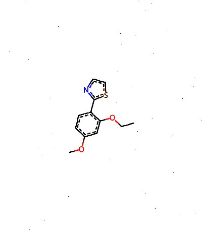 CCOc1cc(OC)ccc1-c1nccs1